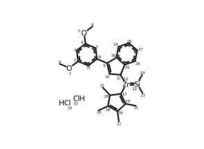 COc1cc(OC)cc(C2=C[CH]([Zr]([C]3=C(C)C(C)=C(C)C3C)=[Si](C)C)c3ccccc32)c1.Cl.Cl